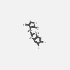 Fc1cc2nc(Nc3c(Cl)csc3Cl)[nH]c2cc1F